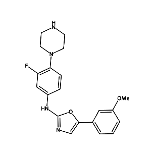 COc1cccc(-c2cnc(Nc3ccc(N4CCNCC4)c(F)c3)o2)c1